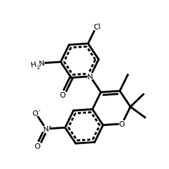 CC1=C(n2cc(Cl)cc(N)c2=O)c2cc([N+](=O)[O-])ccc2OC1(C)C